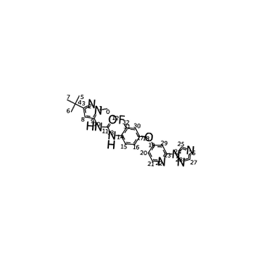 Cn1nc(C(C)(C)C)cc1NC(=O)Nc1ccc(Oc2ccnc(-n3cncn3)c2)cc1F